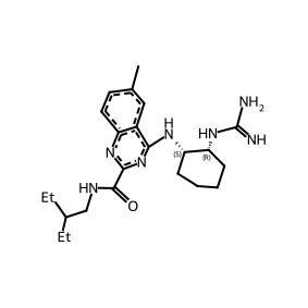 CCC(CC)CNC(=O)c1nc(N[C@H]2CCCC[C@H]2NC(=N)N)c2cc(C)ccc2n1